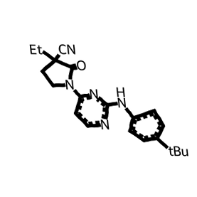 CCC1(C#N)CCN(c2ccnc(Nc3ccc(C(C)(C)C)cc3)n2)C1=O